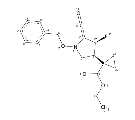 CCOC(=O)C1([C@H]2CN(OCc3ccccc3)C(=C=O)[C@H]2F)CC1